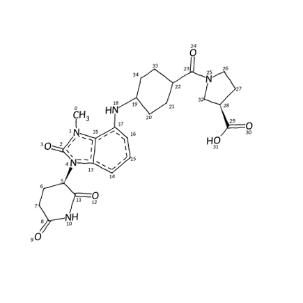 Cn1c(=O)n([C@@H]2CCC(=O)NC2=O)c2cccc(NC3CCC(C(=O)N4CC[C@@H](C(=O)O)C4)CC3)c21